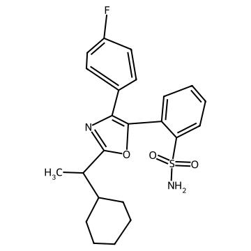 CC(c1nc(-c2ccc(F)cc2)c(-c2ccccc2S(N)(=O)=O)o1)C1CCCCC1